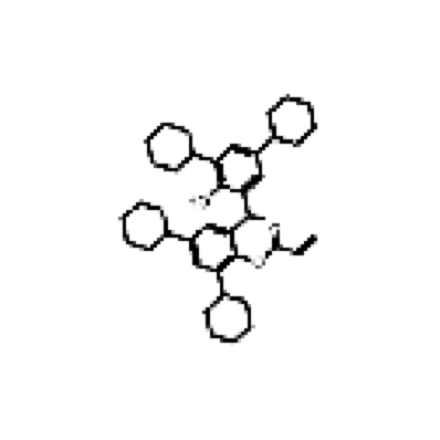 C=CC(=O)Oc1c(C2CCCCC2)cc(C2CCCCC2)cc1C(C)c1cc(C2CCCCC2)cc(C2CCCCC2)c1O